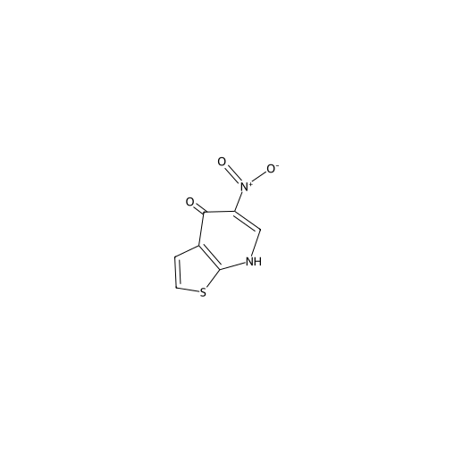 O=c1c([N+](=O)[O-])c[nH]c2sccc12